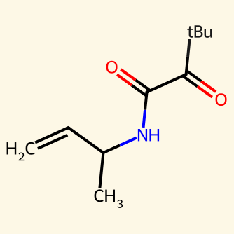 C=CC(C)NC(=O)C(=O)C(C)(C)C